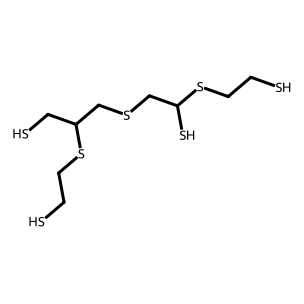 SCCSC(S)CSCC(CS)SCCS